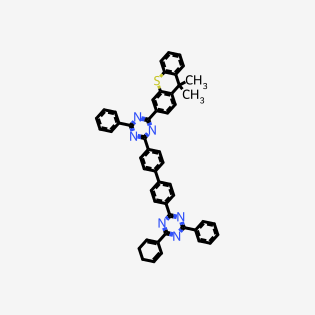 CC1(C)c2ccccc2Sc2cc(-c3nc(-c4ccccc4)nc(-c4ccc(-c5ccc(-c6nc(C7=CCCC=C7)nc(-c7ccccc7)n6)cc5)cc4)n3)ccc21